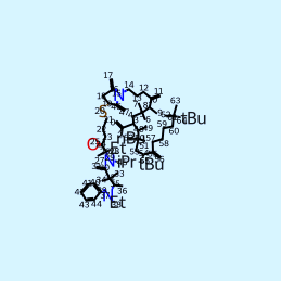 C=C(CCCC)C(CC(C)(C)C(C)C(=C)CCCN1C(=C)CC(SCCCC(=O)C(C)(CC)N(C(=C)C(C)(C)C(C)N(CC)c2ccccc2)C(C)C)C1=C)C(C)C(C)(C)CC(C(=C)CCCCC(C)(C)C(C)(C)C)C(C)(C)C